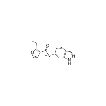 CCc1oncc1C(=O)Nc1ccc2cn[nH]c2c1